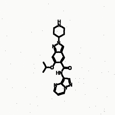 CC(C)Oc1cc2nn(C3CCNCC3)cc2cc1C(=O)Nc1cnn2cccnc12